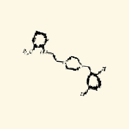 O=[N+]([O-])c1ccccc1NCCN1CCN(Cc2cc(Cl)ccc2Cl)CC1